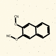 N#COc1cc2ccccc2cc1OC#N